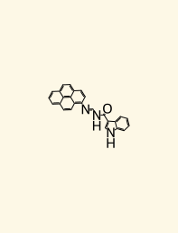 O=C(N/C=N/c1ccc2ccc3cccc4ccc1c2c34)c1c[nH]c2ccccc12